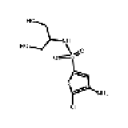 Nc1cc(S(=O)(=O)NC(CO)CO)sc1Cl